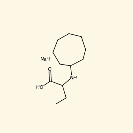 CCC(NC1CCCCCCC1)C(=O)O.[NaH]